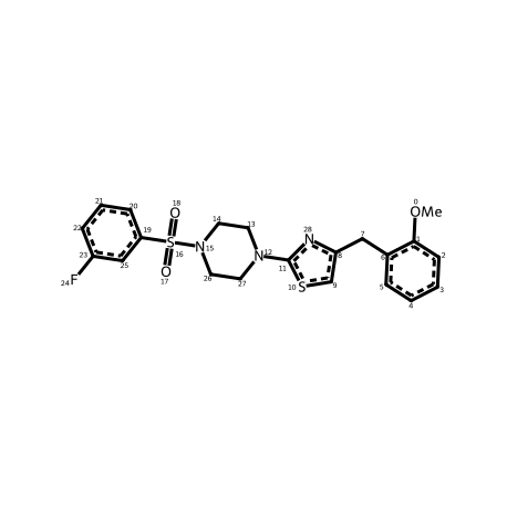 COc1ccccc1Cc1csc(N2CCN(S(=O)(=O)c3cccc(F)c3)CC2)n1